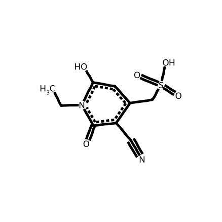 CCn1c(O)cc(CS(=O)(=O)O)c(C#N)c1=O